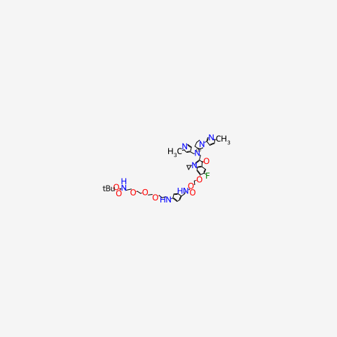 Cc1ccc(N2CCC[C@H](N(Cc3ccnc(C)c3)Cc3cn(C4CC4)c4cc(OCCOC(=O)NCc5ccc(NCCCOCCOCCOCCNC(=O)OC(C)(C)C)cc5)c(F)cc4c3=O)C2)cn1